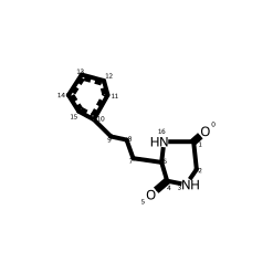 O=C1CNC(=O)C(CCCc2ccccc2)N1